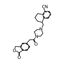 N#Cc1cccc2c1CCCC2CN1CCN(C(=O)Cc2ccc3c(c2)COC3=O)CC1